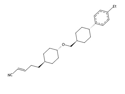 CCc1ccc([C@H]2CC[C@H](CO[C@H]3CC[C@H](CCC=CC#N)CC3)CC2)cc1